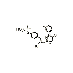 Cc1cccc(N2N=C(CN(C)Cc3ccc(SC(C)(C)C(=O)O)cc3)OCC2=O)c1.Cl